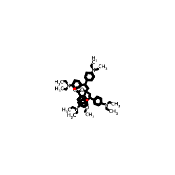 CCOc1ccc2c(c1)C(C=C(c1ccc(N(CC)CC)cc1)c1ccc(N(CC)CC)cc1)(C=C(c1ccc(N(CC)CC)cc1)c1ccc(N(CC)CC)cc1)OC2=O